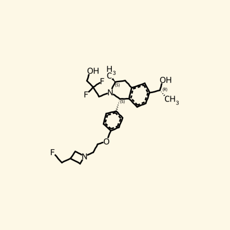 C[C@@H](O)c1ccc2c(c1)C[C@H](C)N(CC(F)(F)CO)[C@H]2c1ccc(OCCN2CC(CF)C2)cc1